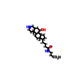 CC12CCC3C(C(O)CC4CNCCC43C)C1CCC2CCCC(=O)NCCC(=O)O